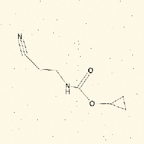 N#CCCNC(=O)OC1CC1